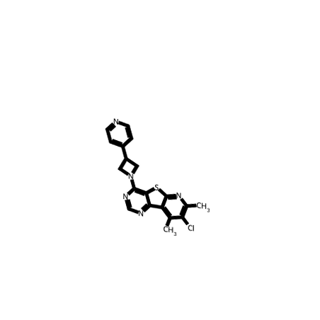 Cc1nc2sc3c(N4CC(c5ccncc5)C4)ncnc3c2c(C)c1Cl